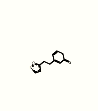 S=C1C=C(CCc2ccno2)C=CC1